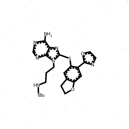 CC(C)(C)NCCCn1c(Sc2cc3c(cc2-c2ncco2)OCC3)nc2c(N)ncnc21